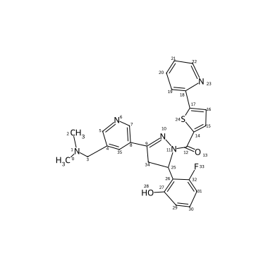 CN(C)Cc1cncc(C2=NN(C(=O)c3ccc(-c4ccccn4)s3)C(c3c(O)cccc3F)C2)c1